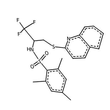 Cc1cc(C)c(S(=O)(=O)NC(CSc2ccc3ccccc3n2)C(F)(F)F)c(C)c1